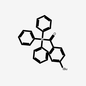 CC(C)(C)c1ccc(C(=O)[Si](c2ccccc2)(c2ccccc2)c2ccccc2)cc1